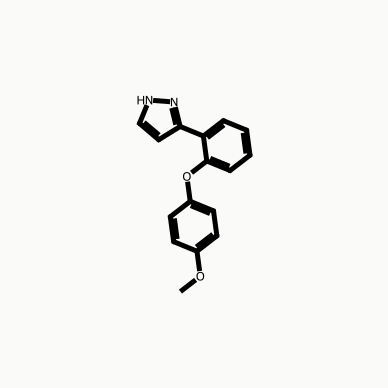 COc1ccc(Oc2ccccc2-c2cc[nH]n2)cc1